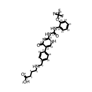 O=C(O)CCCNCc1ccc(-c2c[nH]c(NC(=O)Nc3ccccc3OC(F)(F)F)nc2=O)cc1